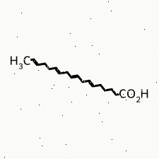 CC=CCCC=CCC=CCC=CCCCCC(=O)O